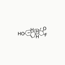 C[C@]12CC[C@H](O)CC1=CC[C@@H]1[C@@H]2CC[C@]2(C)C(=O)C(F)C[C@@H]12